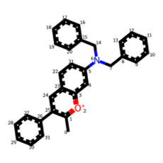 Cc1[o+]c2cc(N(Cc3ccccc3)Cc3ccccc3)ccc2cc1-c1ccccc1